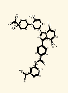 C[C@H]1CO[C@@H](c2nc(-c3ccc(C(=O)Nc4cc(C(F)F)ccn4)cc3)c3c(N)ncc(Cl)n23)CN1C1CCC(C)(C(=O)O)CC1